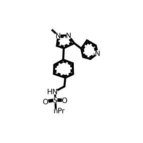 CCCS(=O)(=O)NCc1ccc(-c2cn(C)nc2-c2ccncc2)cc1